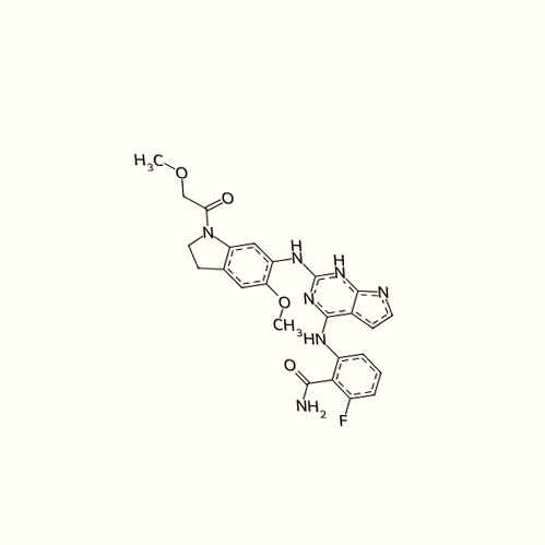 COCC(=O)N1CCc2cc(OC)c(Nc3nc(Nc4cccc(F)c4C(N)=O)c4ccnc-4[nH]3)cc21